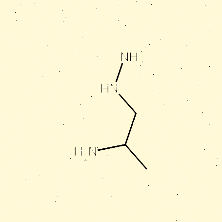 CC(N)CNN